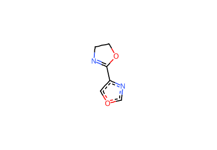 c1nc(C2=NCCO2)co1